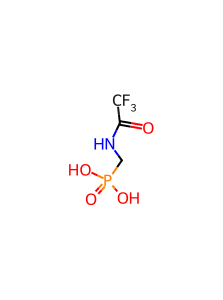 O=C(NCP(=O)(O)O)C(F)(F)F